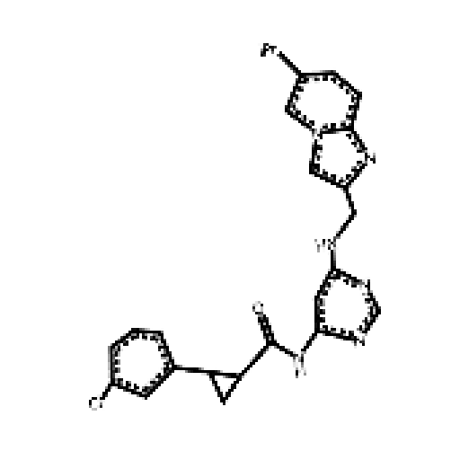 CC(C)c1ccc2nc(CNc3cc(NC(=O)C4CC4c4cccc(Cl)c4)ncn3)cn2c1